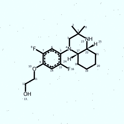 CC1(C)CN(c2cc(F)c(OCCO)cc2F)[C@H]2CCCC[C@H]2N1